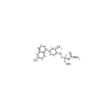 CC(C)CC(C)(COc1ccc(-c2ccnc3cc(Cl)ccc23)cc1C(F)(F)F)OC(N)=O